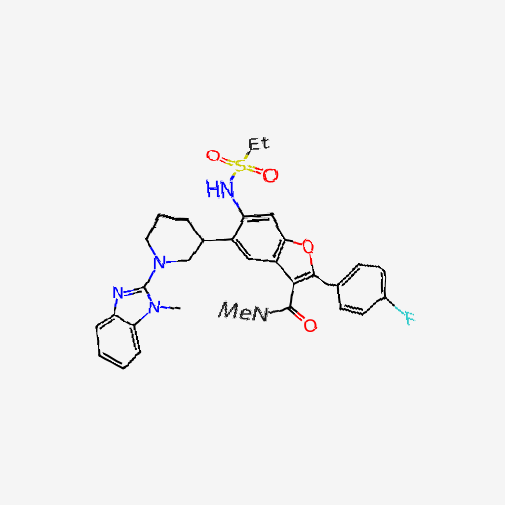 CCS(=O)(=O)Nc1cc2oc(-c3ccc(F)cc3)c(C(=O)NC)c2cc1C1CCCN(c2nc3ccccc3n2C)C1